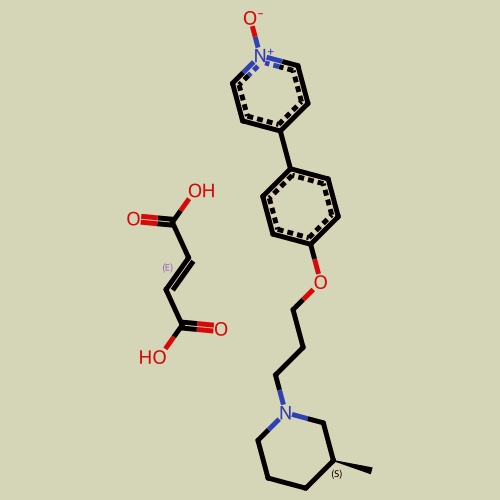 C[C@H]1CCCN(CCCOc2ccc(-c3cc[n+]([O-])cc3)cc2)C1.O=C(O)/C=C/C(=O)O